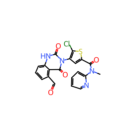 CN(C(=O)c1cc(-n2c(=O)[nH]c3cccc(C=O)c3c2=O)c(Cl)s1)c1ccccn1